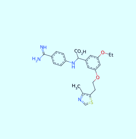 CCOc1cc(OCCc2scnc2C)cc(C(Nc2ccc(C(=N)N)cc2)C(=O)O)c1